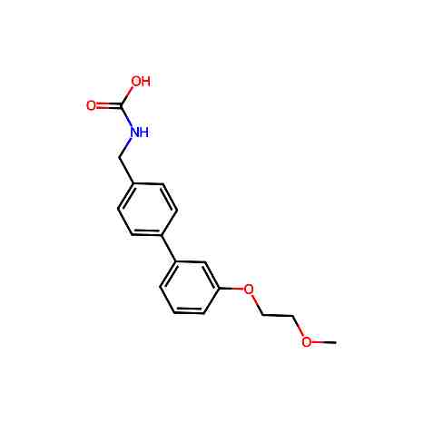 COCCOc1cccc(-c2ccc(CNC(=O)O)cc2)c1